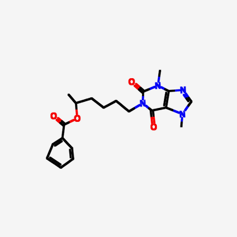 CC(CCCCn1c(=O)c2c(ncn2C)n(C)c1=O)OC(=O)c1ccccc1